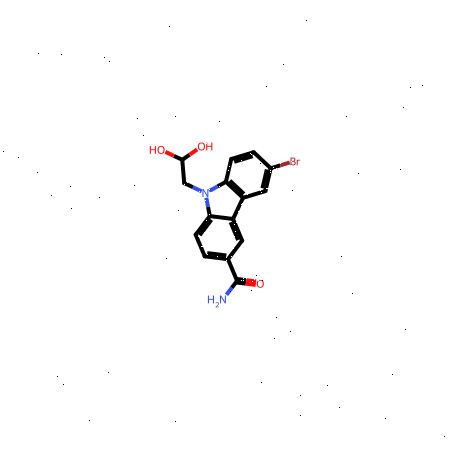 NC(=O)c1ccc2c(c1)c1cc(Br)ccc1n2CC(O)O